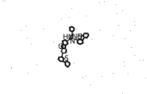 C1=CC(c2cccc3c2sc2ccccc23)Cc2oc3ccc(C4=NC(c5cccc6c5sc5ccccc56)NC(c5ccccc5)N4)cc3c21